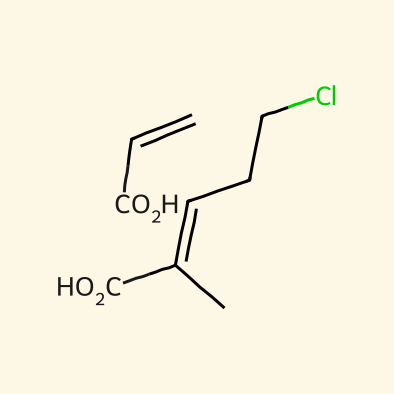 C=CC(=O)O.CC(=CCCCl)C(=O)O